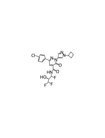 O=C(NC(F)[C@H](O)C(F)F)c1cc(-c2ccc(Cl)cc2)nn(-c2cnn(C3CCC3)c2)c1=O